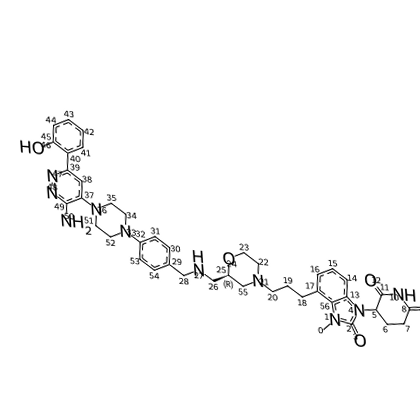 Cn1c(=O)n(C2CCC(=O)NC2=O)c2cccc(CCCN3CCO[C@H](CNCc4ccc(N5CCN(c6cc(-c7ccccc7O)nnc6N)CC5)cc4)C3)c21